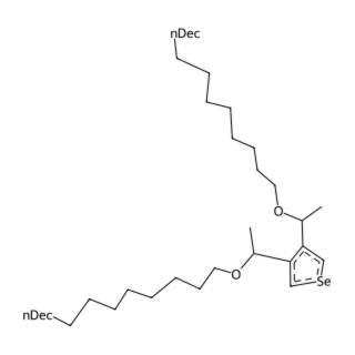 CCCCCCCCCCCCCCCCCCOC(C)c1c[se]cc1C(C)OCCCCCCCCCCCCCCCCCC